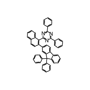 c1ccc(-c2nc(-c3ccccc3)nc(-c3c(-c4ccc5c(c4)C(c4ccccc4)(c4ccccc4)c4ccccc4-5)ccc4ccccc34)n2)cc1